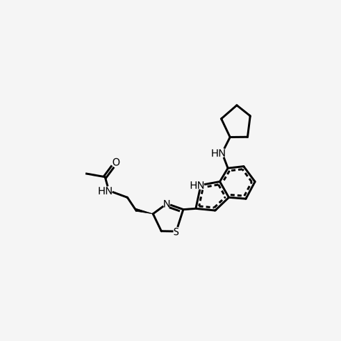 CC(=O)NCC[C@@H]1CSC(c2cc3cccc(NC4CCCC4)c3[nH]2)=N1